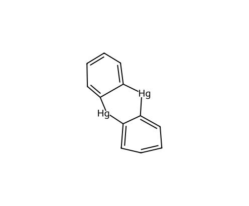 c1cc[c]2[c](c1)[Hg][c]1cccc[c]1[Hg]2